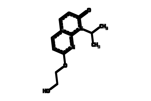 CC(C)n1c(=O)ccc2ccc(OCCO)nc21